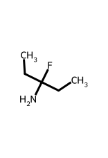 CCC(N)(F)CC